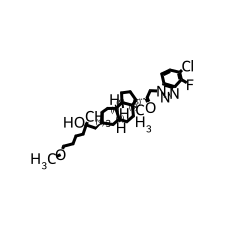 COCCCCC(C)(O)C[C@H]1CC[C@@H]2[C@H](CC[C@]3(C)[C@@H](C(=O)Cn4nnc5c(F)c(Cl)ccc54)CC[C@@H]23)C1